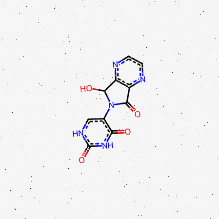 O=C1c2nccnc2C(O)N1c1c[nH]c(=O)[nH]c1=O